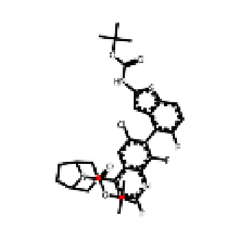 CC(C)(C)OC(=O)Nc1cc2c(-c3c(Cl)cc4c(N5CC6CCC(C5)N6C(=O)OC(C)(C)C)nc(F)nc4c3F)c(F)ccc2s1